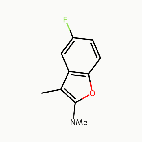 CNc1oc2ccc(F)cc2c1C